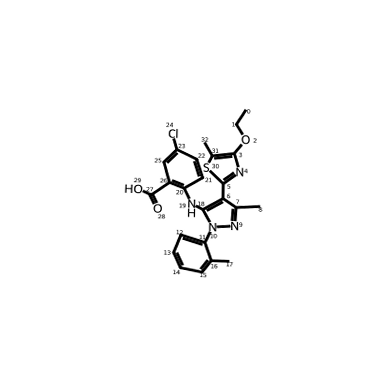 CCOc1nc(-c2c(C)nn(-c3ccccc3C)c2Nc2ccc(Cl)cc2C(=O)O)sc1C